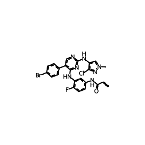 C=CC(=O)Nc1ccc(F)c(Nc2nc(Nc3cn(C)nc3Cl)ncc2-c2ccc(Br)cc2)c1